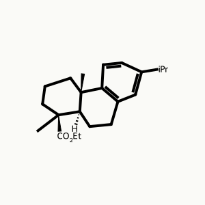 CCOC(=O)[C@@]1(C)CCC[C@]2(C)c3ccc(C(C)C)cc3CC[C@@H]12